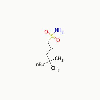 CCCCC(C)(C)C[CH]CS(N)(=O)=O